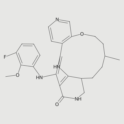 COc1c(F)cccc1Nc1c2[nH]c3c1C(=O)NCC3CCC(C)CCOc1cnccc1-2